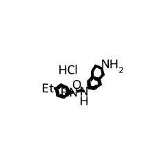 CCc1ccc(NC(=O)Nc2ccc3c(c2)CCC(N)C3)cc1.Cl